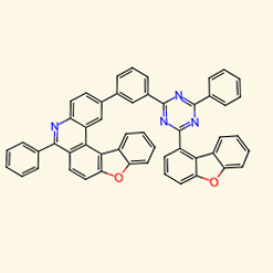 c1ccc(-c2nc(-c3cccc(-c4ccc5nc(-c6ccccc6)c6ccc7oc8ccccc8c7c6c5c4)c3)nc(-c3cccc4oc5ccccc5c34)n2)cc1